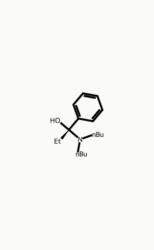 CCCCN(CCCC)[C@@](O)(CC)c1ccccc1